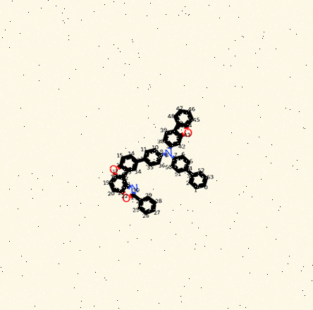 c1ccc(-c2ccc(N(c3ccc(-c4ccc5oc6ccc7oc(-c8ccccc8)nc7c6c5c4)cc3)c3ccc4c(c3)oc3ccccc34)cc2)cc1